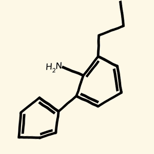 CCCc1cccc(-c2ccccc2)c1N